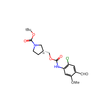 COc1cc(NC(=O)OC[C@@H]2CCN(C(=O)OC(C)(C)C)C2)c(Cl)cc1C=O